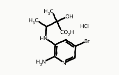 CC(Nc1cc(Br)cnc1N)C(C)(O)C(=O)O.Cl